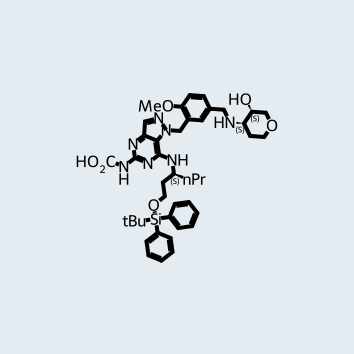 CCC[C@@H](CCO[Si](c1ccccc1)(c1ccccc1)C(C)(C)C)Nc1nc(NC(=O)O)nc2cnn(Cc3cc(CN[C@H]4CCOC[C@H]4O)ccc3OC)c12